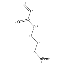 [CH2]CCCCCCCOC(=O)C=C